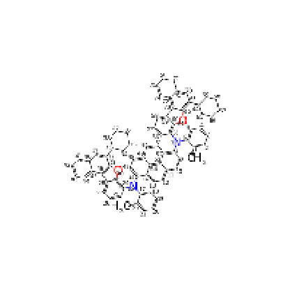 Cc1ccccc1N(c1ccc2ccc3c(N(c4ccccc4C)c4cccc5c4oc4c(C6CCCCC6)cc6ccccc6c45)ccc4ccc1c2c43)c1cccc2c1oc1c(C3CCCCC3)cc3c(c12)C=CCC3